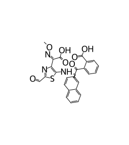 CON=C(C(=O)O)c1nc(C=O)sc1N.O=C(O)c1ccccc1C(=O)c1ccc2ccccc2c1